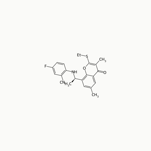 CCSc1oc2c([C@@H](C)Nc3ccc(F)cc3C#N)cc(C)cc2c(=O)c1C